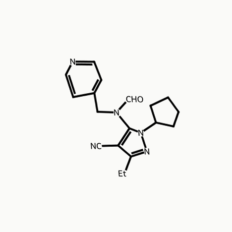 CCc1nn(C2CCCC2)c(N(C=O)Cc2ccncc2)c1C#N